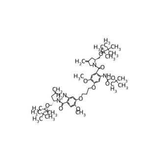 C=C1C[C@@H](CO[Si](C)(C)C(C)(C)C)N(C(=O)c2cc(OC)c(OCCCOc3cc(NC(=O)OC(C)(C)C)c(C(=O)N4CC(=C)C[C@H]4CO[Si](C)(C)C(C)(C)C)cc3OC)cc2N)C1